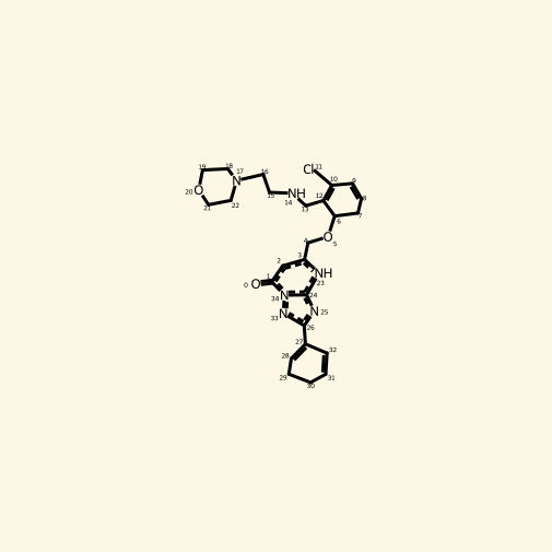 O=c1cc(COC2CC=CC(Cl)=C2CNCCN2CCOCC2)[nH]c2nc(C3=CCCC=C3)nn12